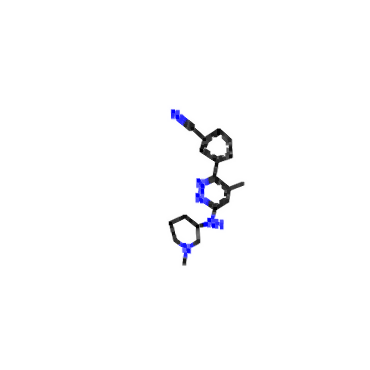 Cc1cc(N[C@@H]2CCCN(C)C2)nnc1-c1cccc(C#N)c1